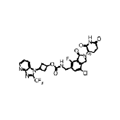 O=C1CC[C@@H](N2Cc3c(Cl)cc(CNC(=O)OC4CC(n5c(C(F)(F)F)nc6ncccc65)C4)c(F)c3C2=O)C(=O)N1